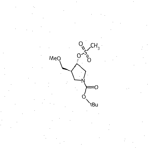 COC[C@@H]1CN(C(=O)OC(C)(C)C)C[C@H]1OS(C)(=O)=O